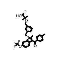 Cc1ccc(C(=O)c2c(C)n(Cc3cccc(COC(C)(C)C(=O)O)c3)c3cc(OC(F)(F)F)ccc23)cc1